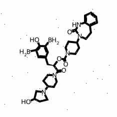 Bc1cc(C[C@@H](OC(=O)N2CCC(N3CCc4ccccc4NC3=O)CC2)C(=O)N2CCC(N3CCC(O)C3)CC2)cc(B)c1O